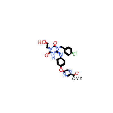 COC(=O)c1cnc(OC2=CCC(/N=c3\[nH]c(=O)n(CCO)c(=O)n3Cc3ccc(Cl)cc3)C=C2)cn1